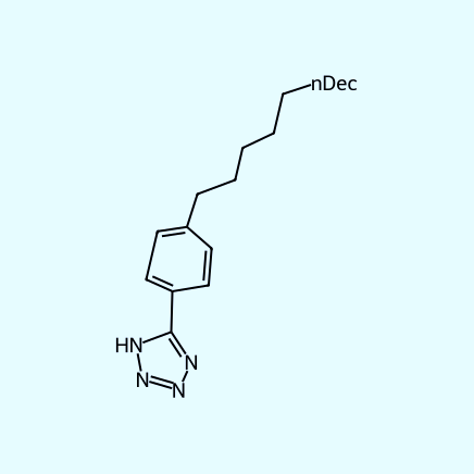 CCCCCCCCCCCCCCCc1ccc(-c2nnn[nH]2)cc1